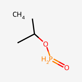 C.CC(C)O[PH2]=O